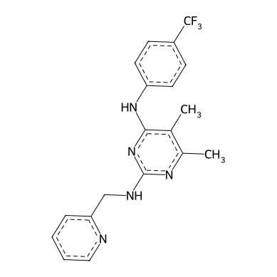 Cc1nc(NCc2ccccn2)nc(Nc2ccc(C(F)(F)F)cc2)c1C